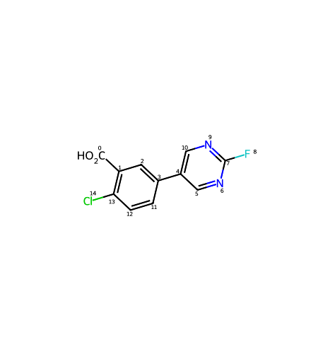 O=C(O)c1cc(-c2cnc(F)nc2)ccc1Cl